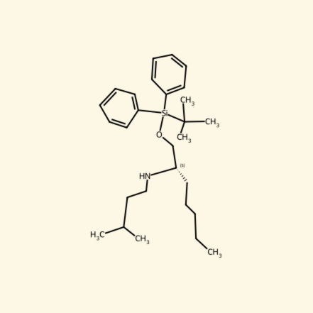 CCCCC[C@@H](CO[Si](c1ccccc1)(c1ccccc1)C(C)(C)C)NCCC(C)C